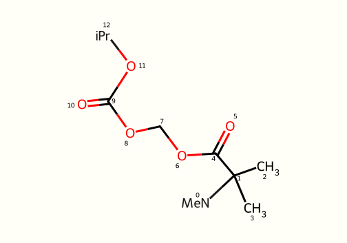 CNC(C)(C)C(=O)OCOC(=O)OC(C)C